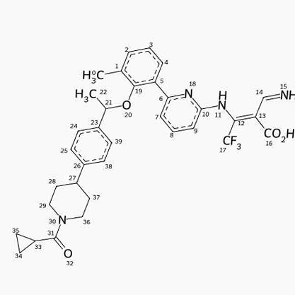 Cc1cccc(-c2cccc(N/C(=C(\C=N)C(=O)O)C(F)(F)F)n2)c1OC(C)c1ccc(C2CCN(C(=O)C3CC3)CC2)cc1